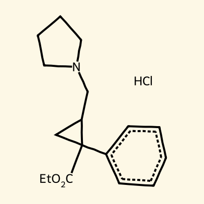 CCOC(=O)C1(c2ccccc2)CC1CN1CCCC1.Cl